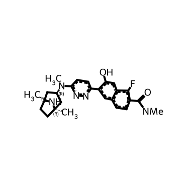 CNC(=O)c1ccc2cc(-c3ccc(N(C)[C@@H]4C[C@]5(C)CC[C@](C)(C4)N5)nn3)c(O)cc2c1F